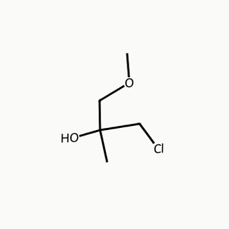 COCC(C)(O)CCl